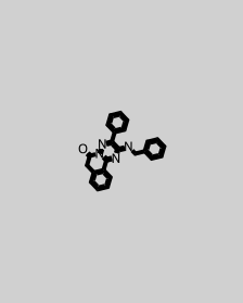 O=C1Cc2ccccc2-c2nc(=NCc3ccccc3)c(-c3ccccc3)nn21